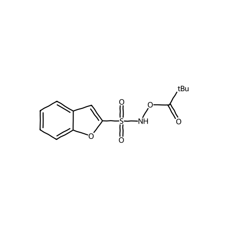 CC(C)(C)C(=O)ONS(=O)(=O)c1cc2ccccc2o1